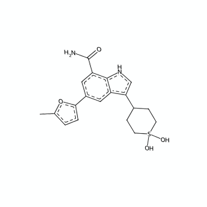 Cc1ccc(-c2cc(C(N)=O)c3[nH]cc(C4CCS(O)(O)CC4)c3c2)o1